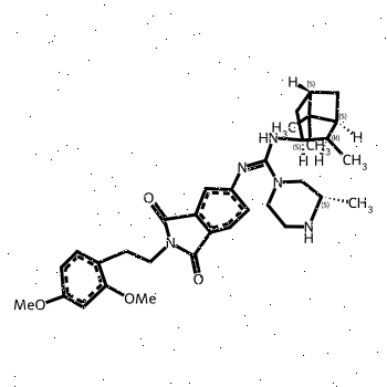 COc1ccc(CCN2C(=O)c3ccc(N=C(N[C@H]4C[C@@H]5C[C@@H]([C@H]4C)C5(C)C)N4CCN[C@@H](C)C4)cc3C2=O)c(OC)c1